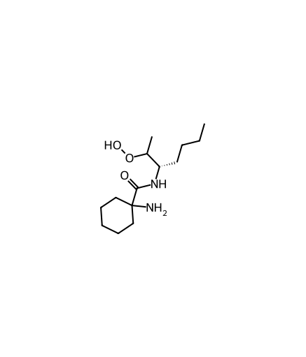 CCCC[C@H](NC(=O)C1(N)CCCCC1)C(C)OO